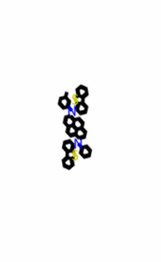 CC1C=C(N(c2ccc3ccc4c(N(c5ccccc5)c5cccc6c5sc5ccccc56)ccc5ccc2c3c54)c2cccc3c2sc2ccccc23)C=CC1